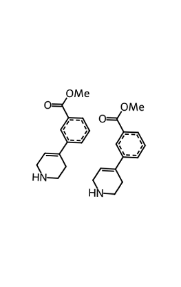 COC(=O)c1cccc(C2=CCNCC2)c1.COC(=O)c1cccc(C2=CCNCC2)c1